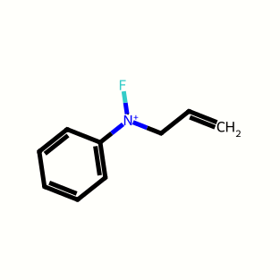 C=CC[N+](F)c1ccccc1